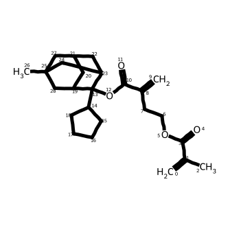 C=C(C)C(=O)OCCC(=C)C(=O)OC1(C2CCCC2)C2CC3CC1CC(C)(C3)C2